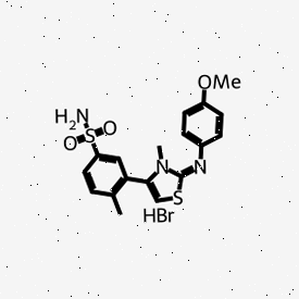 Br.COc1ccc(N=c2scc(-c3cc(S(N)(=O)=O)ccc3C)n2C)cc1